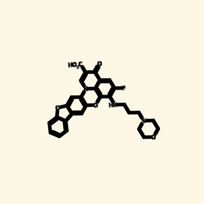 O=C(O)c1cn2c3c(c(NCCCN4CCOCC4)c(F)cc3c1=O)Oc1cc3c(cc1-2)oc1ccccc13